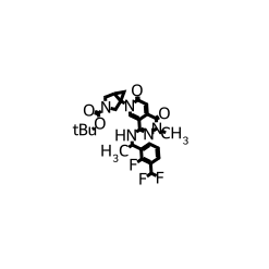 CC(Nc1nn(C)c(=O)c2cc(=O)n(C34CC3CN(C(=O)OC(C)(C)C)C4)cc12)c1cccc(C(F)F)c1F